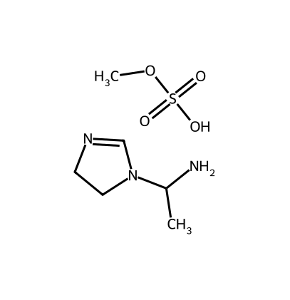 CC(N)N1C=NCC1.COS(=O)(=O)O